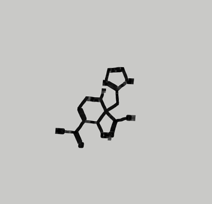 CC1C(C(=O)O)=CC=C(F)C1(Cc1ncc[nH]1)C(=O)O